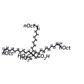 CCCCCCCC/C=C\CCCCCCCCC(CCCCCCCC/C=C\CCCCCCCC)(C(=O)O)C(CCCCCCCC/C=C\CCCCCCCC)(CC(=O)O)C(=O)O